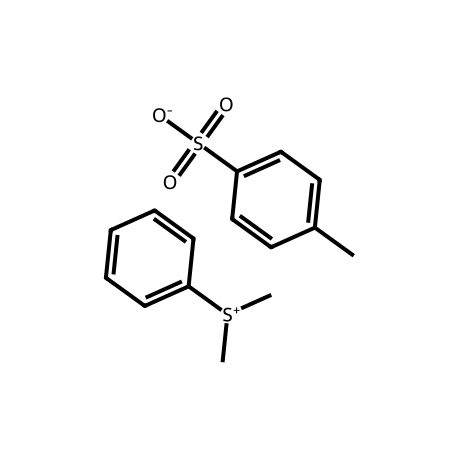 C[S+](C)c1ccccc1.Cc1ccc(S(=O)(=O)[O-])cc1